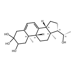 C[C@H](O)[C@H]1CC[C@H]2C3=CC=C4CC(O)(O)C(O)C[C@]4(C)[C@H]3CC[C@]12C